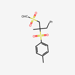 Cc1ccc(S(=O)(=O)C(C)(CC(C)C)CS(=O)(=O)C=O)cc1